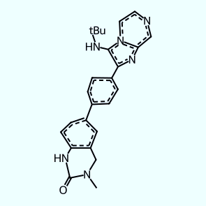 CN1Cc2cc(-c3ccc(-c4nc5cnccn5c4NC(C)(C)C)cc3)ccc2NC1=O